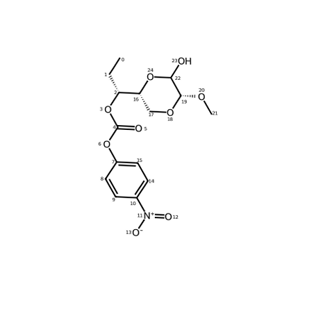 CC[C@@H](OC(=O)Oc1ccc([N+](=O)[O-])cc1)[C@H]1CO[C@@H](OC)C(O)O1